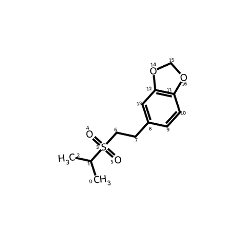 CC(C)S(=O)(=O)CCc1ccc2c(c1)OCO2